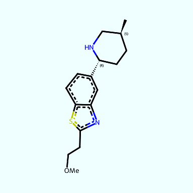 COCCc1nc2cc([C@H]3CC[C@H](C)CN3)ccc2s1